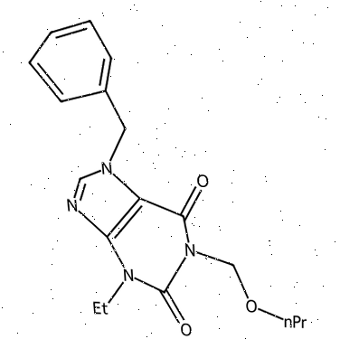 CCCOCn1c(=O)c2c(ncn2Cc2ccccc2)n(CC)c1=O